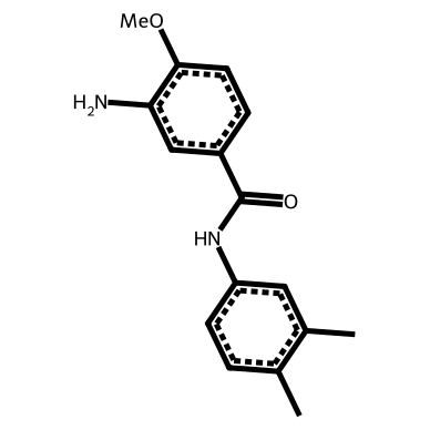 COc1ccc(C(=O)Nc2ccc(C)c(C)c2)cc1N